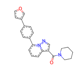 O=C(c1cnn2c(-c3ccc(-c4ccoc4)cc3)cccc12)N1CCCCC1